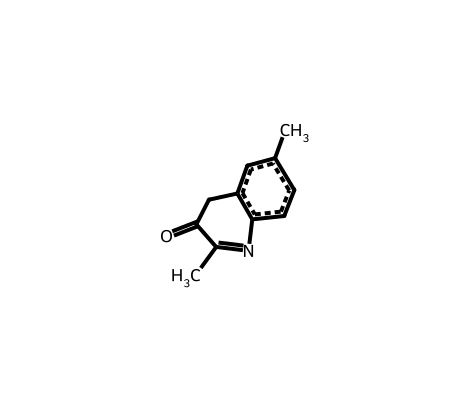 CC1=Nc2ccc(C)cc2CC1=O